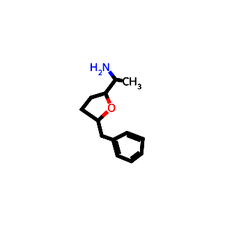 CC(N)C1CCC(Cc2ccccc2)O1